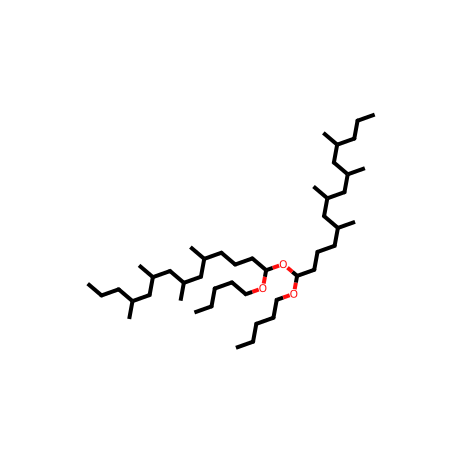 CCCCCOC(CCCC(C)CC(C)CC(C)CC(C)CCC)OC(CCCC(C)CC(C)CC(C)CC(C)CCC)OCCCCC